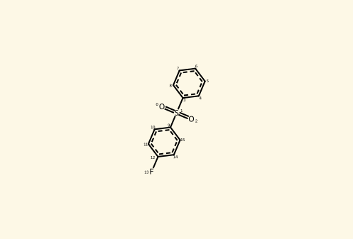 O=S(=O)(c1ccccc1)c1ccc(F)cc1